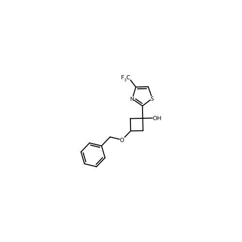 OC1(c2nc(C(F)(F)F)cs2)CC(OCc2ccccc2)C1